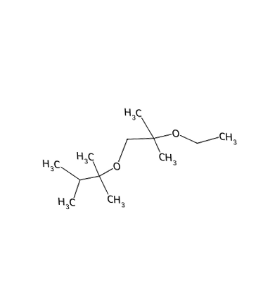 CCOC(C)(C)COC(C)(C)C(C)C